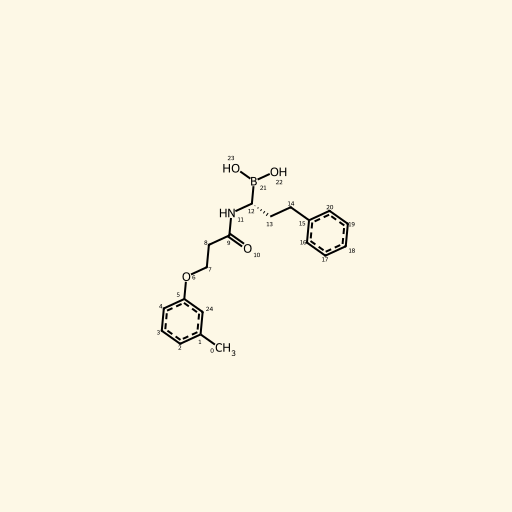 Cc1cccc(OCCC(=O)N[C@@H](CCc2ccccc2)B(O)O)c1